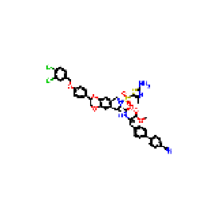 COC(=O)[C@H](Cc1ccc(-c2ccc(C#N)cc2)cc1)NC(=O)[C@@H]1Cc2cc3c(cc2CN1S(=O)(=O)c1sc(N)nc1C)OC(c1ccc(OCc2ccc(Cl)c(Cl)c2)cc1)CO3